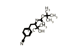 CC(C)(C)OC(=O)/N=C(/Cc1ccc(C#N)cc1)C(C)(C)O